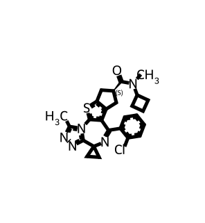 Cc1nnc2n1-c1sc3c(c1C(c1ccccc1Cl)=NC21CC1)C[C@H](C(=O)N(C)C1CCC1)C3